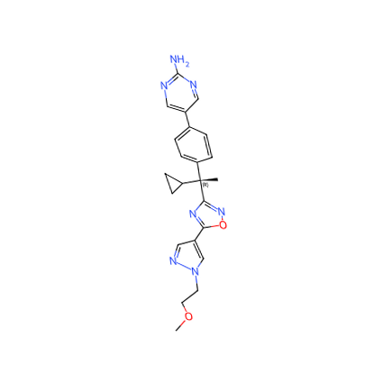 COCCn1cc(-c2nc([C@@](C)(c3ccc(-c4cnc(N)nc4)cc3)C3CC3)no2)cn1